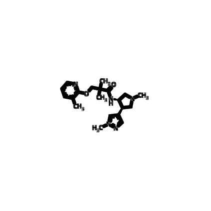 Cc1cccnc1OCC(C)(C)C(=O)N[C@@H]1CN(C)C[C@H]1c1cnn(C)c1